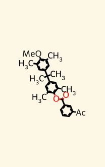 COc1c(C)cc(C(C)(C)c2cc(C)c(OC(=O)c3cccc(C(C)=O)c3)c(C)c2)cc1C